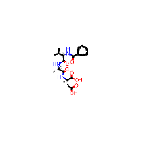 CC(C)[C@H](NC(=O)c1ccccc1)C(=O)N[C@@H](C)C(=O)N[C@@H](CC(=O)O)C(=O)O